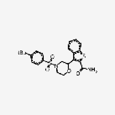 CC(C)(C)c1ccc(S(=O)(=O)N2CCOC(c3c(C(N)=O)sc4ccccc34)C2)cc1